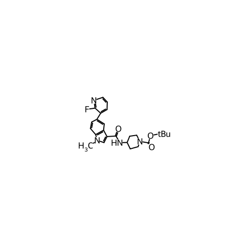 Cn1cc(C(=O)NC2CCN(C(=O)OC(C)(C)C)CC2)c2cc(-c3cccnc3F)ccc21